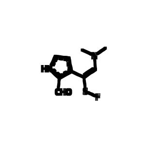 CN(C)/C=C(/SF)c1cc[nH]c1C=O